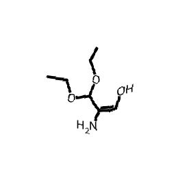 CCOC(OCC)/C(N)=C\O